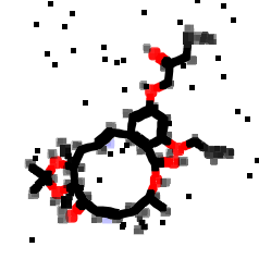 COCOc1cc(OCC(=O)CNC(C)=O)cc2c1C(=O)OC(C)[C@H](C)/C=C\C(=O)[C@H]1OC(C)(C)O[C@H]1C/C=C/2